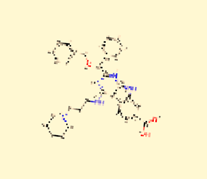 O=C(O)c1ccc2c(c1)[nH]c1nc(C(OCc3ccccc3)c3ccccc3)nc(NCCCN3CCCCC3)c12